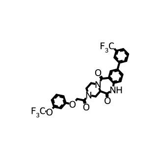 O=C1Nc2ccc(-c3cccc(C(F)(F)F)c3)cc2C(=O)N2CCN(C(=O)COc3cccc(OC(F)(F)F)c3)CC12